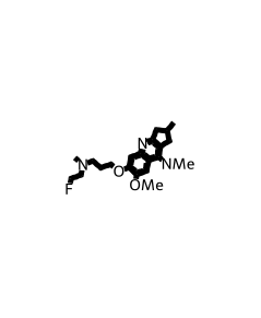 CNc1c2c(nc3cc(OCCCN(C)CCF)c(OC)cc13)CC(C)C2